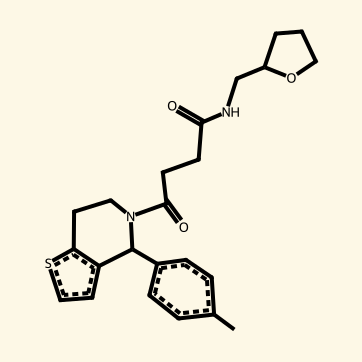 Cc1ccc(C2c3ccsc3CCN2C(=O)CCC(=O)NCC2CCCO2)cc1